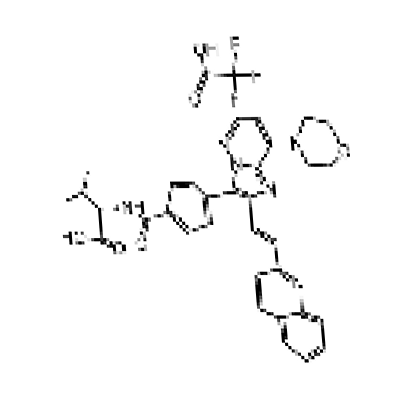 CC(C)[C@H](NC(=O)c1ccc(-c2c(/C=C/c3ccc4ccccc4n3)nc3c(N4CCOCC4)ccnn23)cc1)C(=O)O.O=C(O)C(F)(F)F